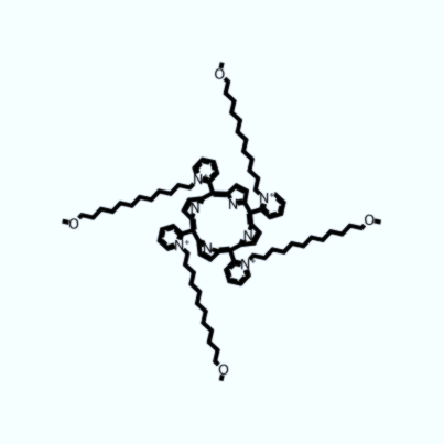 COCCCCCCCCCCCC[n+]1ccccc1C1=C2C=CC(=N2)C(c2cccc[n+]2CCCCCCCCCCCCOC)=C2C=CC(=N2)C(c2cccc[n+]2CCCCCCCCCCCCOC)=C2C=CC(=N2)C(c2cccc[n+]2CCCCCCCCCCCCOC)=C2C=CC1=N2